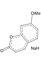 COc1ccc2ccc(=O)oc2c1.[NaH]